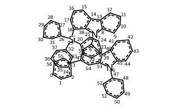 c1ccc(-c2cc(-n3c4ccccc4c4cccc([Si](c5ccccc5)(c5ccccc5)c5ccccc5)c43)c3c4ccccc4n(-c4ccccc4)c3c2)cc1